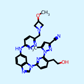 COC1CN(Cc2ccc(Nc3ccc4ncn(-c5ccc(CCO)c(-n6nc(C#N)cc6C)n5)c4c3)nn2)C1